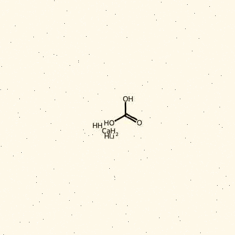 O=C(O)O.[CaH2].[HH].[LiH]